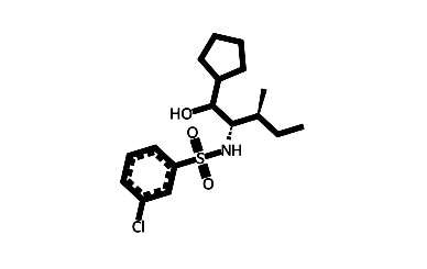 CC[C@H](C)[C@H](NS(=O)(=O)c1cccc(Cl)c1)C(O)C1CCCC1